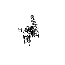 CC(=O)NCCNC1CCc2ccc(CCCC=O)nc2N1C(=O)OC(C)(C)C